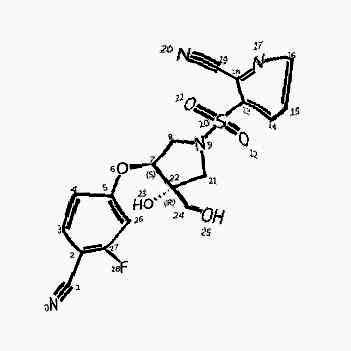 N#Cc1ccc(O[C@H]2CN(S(=O)(=O)c3cccnc3C#N)C[C@@]2(O)CO)cc1F